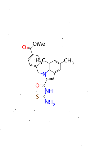 COC(=O)c1ccc(Cn2c(C(=O)NC(N)=S)cc3cc(C)cc(C)c32)cc1